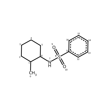 CC1CCCCC1NS(=O)(=O)c1ccccc1